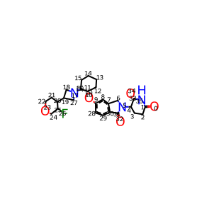 O=C1CCC(N2Cc3cc(O[C@H]4CCCC[C@@H]4N4CC(C5CCOCC5F)C4)ccc3C2=O)C(=O)N1